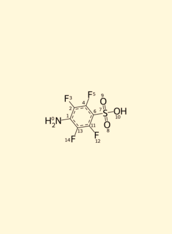 Nc1c(F)c(F)c(S(=O)(=O)O)c(F)c1F